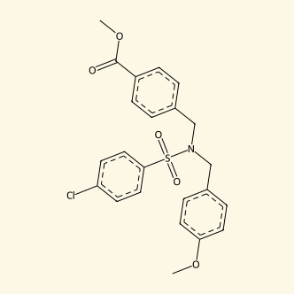 COC(=O)c1ccc(CN(Cc2ccc(OC)cc2)S(=O)(=O)c2ccc(Cl)cc2)cc1